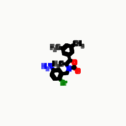 Cc1cc([C@H]2OC(=O)N(Cc3cc(N)ccc3Br)[C@H]2C)cc(C(F)(F)F)c1